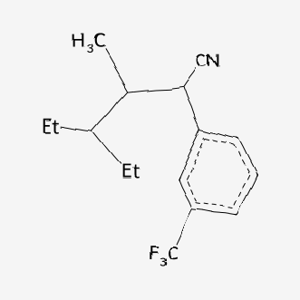 CCC(CC)C(C)C(C#N)c1cccc(C(F)(F)F)c1